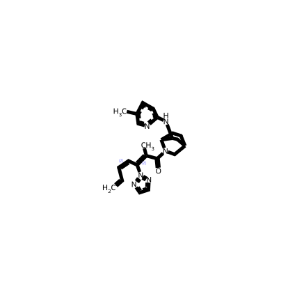 C=C/C=C\C(=C(/C)C(=O)N1CC2CCC1C(Nc1ccc(C)cn1)C2)n1nccn1